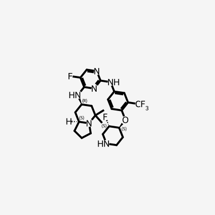 CC1(C)C[C@H](Nc2nc(Nc3ccc(O[C@H]4CCNC[C@@H]4F)c(C(F)(F)F)c3)ncc2F)C[C@@H]2CCCN21